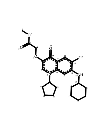 COC(=O)COc1cn(C2CCCC2)c2cc(NC3CCCCC3)c(F)cc2c1=O